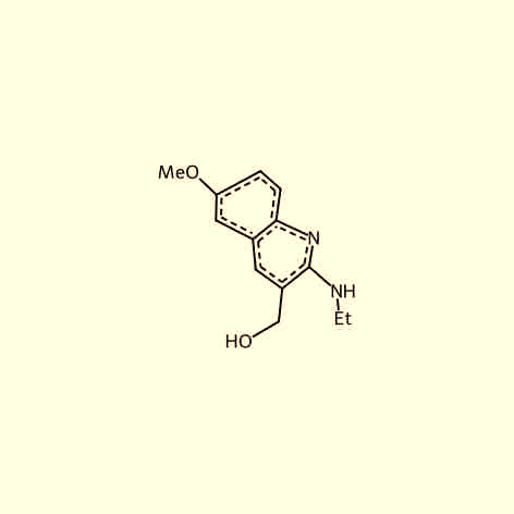 CCNc1nc2ccc(OC)cc2cc1CO